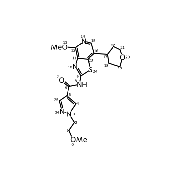 COCCn1cc(C(=O)Nc2nc3c(OC)ncc(C4CCOCC4)c3s2)cn1